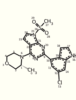 C[C@@H]1COCCN1c1nc(-c2cc(Cl)cc3[nH]ccc23)nc2c1ccn2S(C)(=O)=O